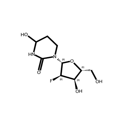 O=C1NC(O)CCN1[C@@H]1O[C@H](CO)[C@@H](O)[C@H]1F